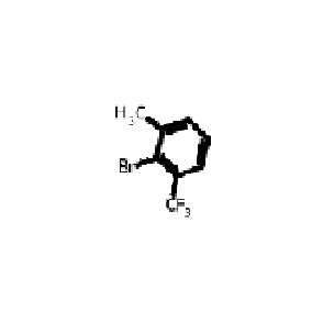 Cc1cccc(C(F)(F)F)c1Br